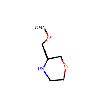 O=COCC1COCCN1